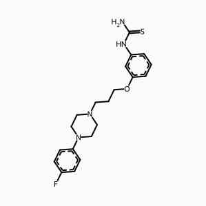 NC(=S)Nc1cccc(OCCCN2CCN(c3ccc(F)cc3)CC2)c1